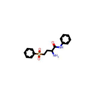 NC(CCS(=O)(=O)c1ccccc1)C(=O)Nc1ccccc1